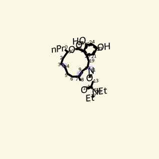 CCCC1C/C=C/CC/C(C)=C/C(=N\OCC(=O)N(CC)CC)Cc2cc(O)cc(O)c2C(=O)O1